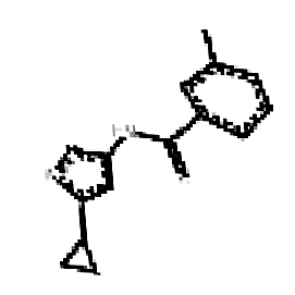 Cc1cccc(C(=O)Nc2cc(C3CC3)[nH]n2)c1